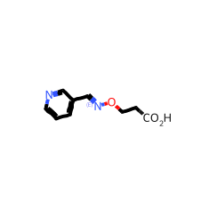 O=C(O)CCO/N=C/c1cccnc1